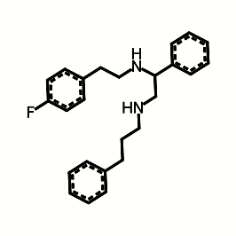 Fc1ccc(CCNC(CNCCCc2ccccc2)c2ccccc2)cc1